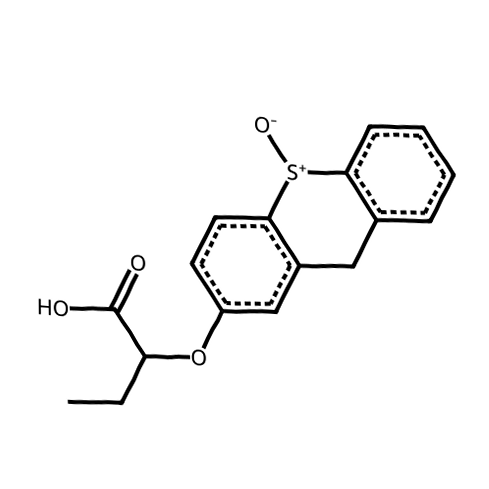 CCC(Oc1ccc2c(c1)Cc1ccccc1[S+]2[O-])C(=O)O